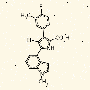 CCc1c(-c2cccc3c2ccn3C)[nH]c(C(=O)O)c1-c1ccc(F)c(C)c1